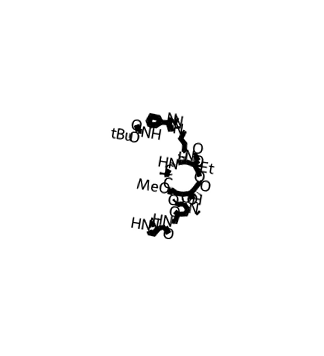 CC[C@H]1OC(=O)[C@H](C)C(=O)[C@H](C)[C@@H](O[C@@H]2OC(CNC(=O)c3cc[nH]n3)CC(N(C)C)C2O)[C@](C)(OC)C[C@@H](C)CN[C@H](C)[C@H]2N(CCCCn3cc(-c4cccc(NC(=O)OC(C)(C)C)c4)nn3)C(=O)O[C@]12C